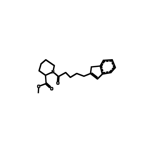 COC(=O)C1CCCCN1C(=O)CCCCC1=Cc2ccccc2C1